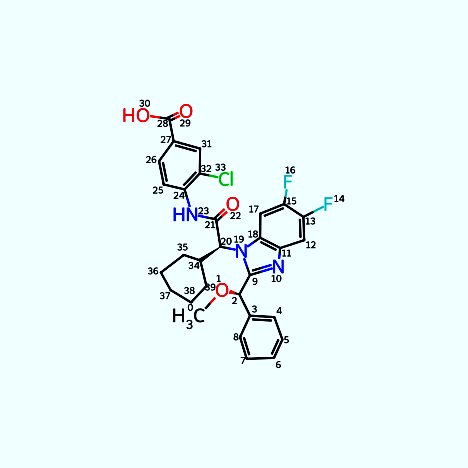 CO[C@H](c1ccccc1)c1nc2cc(F)c(F)cc2n1[C@H](C(=O)Nc1ccc(C(=O)O)cc1Cl)C1CCCCC1